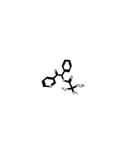 CCOC(=O)C(C)(C)C(=O)OC(C(=O)c1cccnc1)c1ccccc1